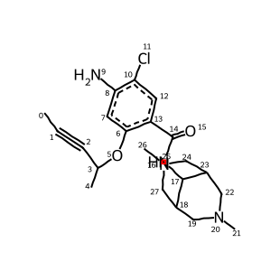 CC#CC(C)Oc1cc(N)c(Cl)cc1C(=O)NC1C2CN(C)CC1CN(C)C2